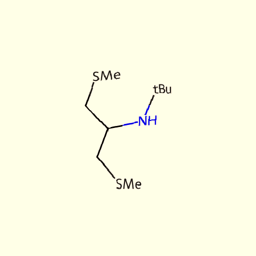 CSCC(CSC)NC(C)(C)C